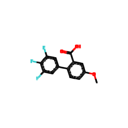 COc1ccc(-c2cc(F)c(F)c(F)c2)c(C(=O)O)c1